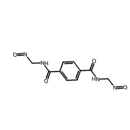 O=NCNC(=O)c1ccc(C(=O)NCN=O)cc1